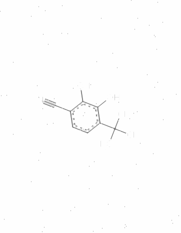 CC(C)(C)c1ccc(C#N)c(O)c1O